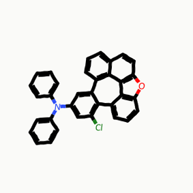 Clc1cc(N(c2ccccc2)c2ccccc2)cc2c1-c1cccc3oc4ccc5cccc-2c5c4c13